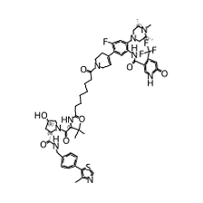 Cc1ncsc1-c1ccc(CNC(=O)[C@@H]2C[C@@H](O)CN2C(=O)[C@@H](NC(=O)CCCCCCC(=O)N2CC=C(c3cc(NC(=O)c4c[nH]c(=O)cc4C(F)(F)F)c(N4C[C@@H](C)N(C)[C@@H](C)C4)cc3F)CC2)C(C)(C)C)cc1